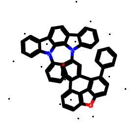 c1ccc(-c2ccc3oc4cccc5c6ccc(-n7c8ccccc8c8ccc9c%10ccccc%10n(-c%10ccccc%10)c9c87)cc6c2c3c45)cc1